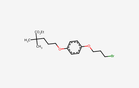 CCOC(=O)C(C)(C)CCCOc1ccc(OCCCBr)cc1